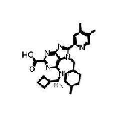 Cc1cnc(-c2nc3nc(C(=O)O)nc(N[C@H](C)C4CCC4)c3n2CC2CCC(C)CC2)cc1C